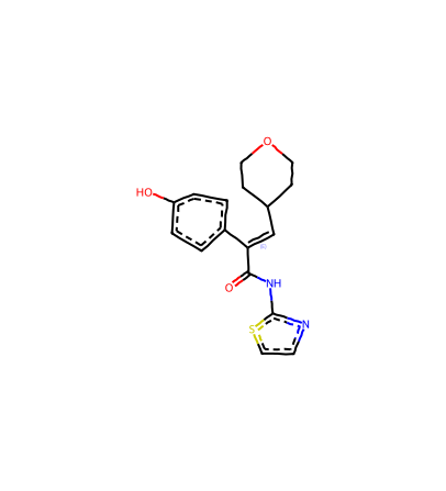 O=C(Nc1nccs1)/C(=C/C1CCOCC1)c1ccc(O)cc1